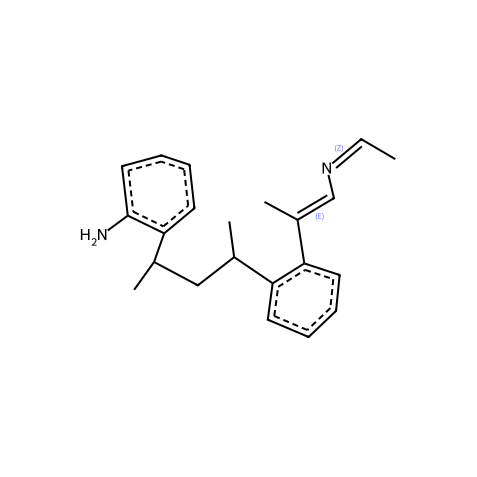 C/C=N\C=C(/C)c1ccccc1C(C)CC(C)c1ccccc1N